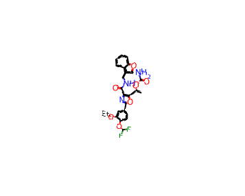 CCOc1cc(-c2nc(C(=O)NCc3coc4ccccc34)c(C(C)OC(N)=O)o2)ccc1OC(F)F